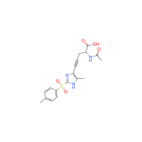 CC(=O)NC(CC#Cc1nc(S(=O)(=O)c2ccc(C)cc2)[nH]c1C)C(=O)O